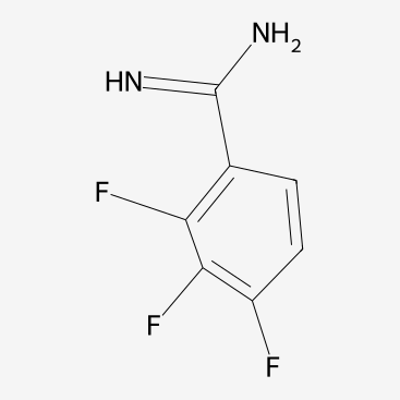 N=C(N)c1ccc(F)c(F)c1F